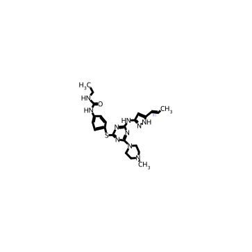 C/C=C/c1cc(Nc2nc(Sc3ccc(NC(=O)NCC)cc3)nc(N3CCN(C)CC3)n2)n[nH]1